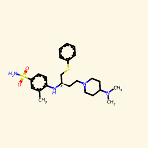 Cc1cc(S(N)(=O)=O)ccc1N[C@H](CCN1CCC(N(C)C)CC1)CSc1ccccc1